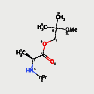 CCCN[C@@H](C)C(=O)OCC(C)(C)OC